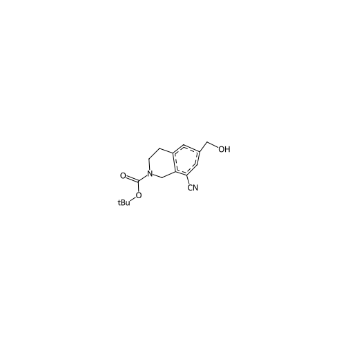 CC(C)(C)OC(=O)N1CCc2cc(CO)cc(C#N)c2C1